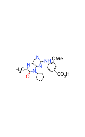 COc1cc(C(=O)O)ccc1Nc1ncc2nc(C)c(=O)n(C3CCCC3)c2n1